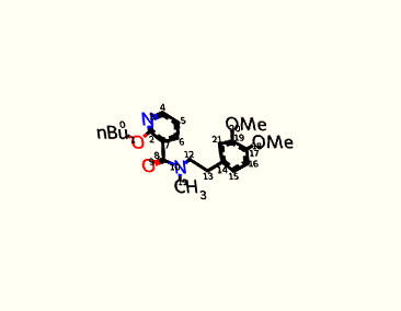 CCCCOc1ncccc1C(=O)N(C)CCc1ccc(OC)c(OC)c1